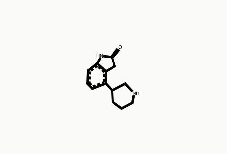 O=C1Cc2c(cccc2C2CCCNC2)N1